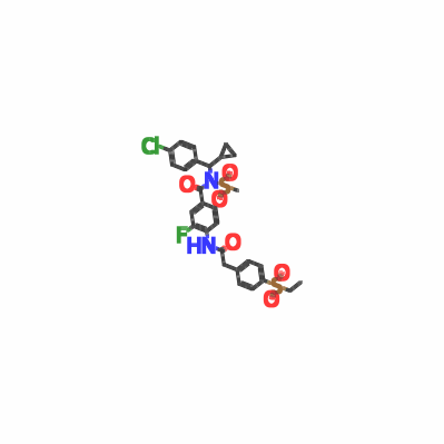 CCS(=O)(=O)c1ccc(CC(=O)Nc2ccc(C(=O)N([C@@H](c3ccc(Cl)cc3)C3CC3)S(C)(=O)=O)cc2F)cc1